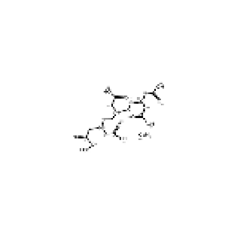 NOC(=O)CN(CCN(CCN(CC(=O)O)CC(=O)O)CC(=O)O)CC(=O)O.[CaH2]